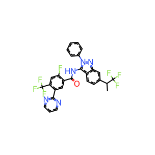 CC(c1ccc2c(NC(=O)c3cc(-c4ncccn4)c(C(F)(F)F)cc3F)n(-c3ccccc3)nc2c1)C(F)(F)F